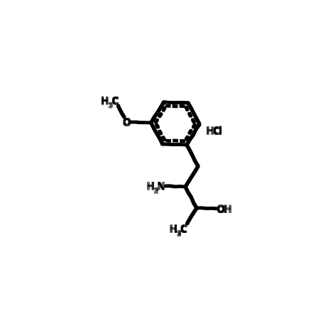 COc1cccc(CC(N)C(C)O)c1.Cl